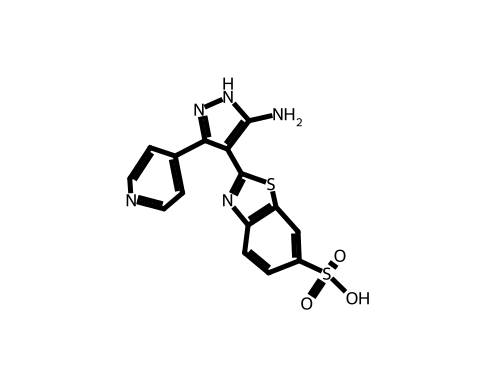 Nc1[nH]nc(-c2ccncc2)c1-c1nc2ccc(S(=O)(=O)O)cc2s1